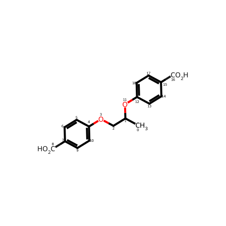 CC(COc1ccc(C(=O)O)cc1)Oc1ccc(C(=O)O)cc1